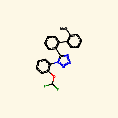 COc1ccccc1-c1ccccc1-c1nnnn1-c1ccccc1OC(F)F